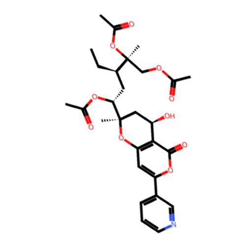 CC[C@H](C[C@@H](OC(C)=O)[C@@]1(C)C[C@@H](O)c2c(cc(-c3cccnc3)oc2=O)O1)[C@](C)(COC(C)=O)OC(C)=O